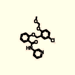 COCOc1ccc(Cl)cc1COc1ccccc1C(=O)Nc1cccnc1